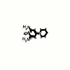 Nc1cc(N2CCCCC2)cc(N)[n+]1[O-]